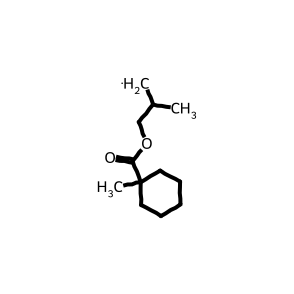 [CH2]C(C)COC(=O)C1(C)CCCCC1